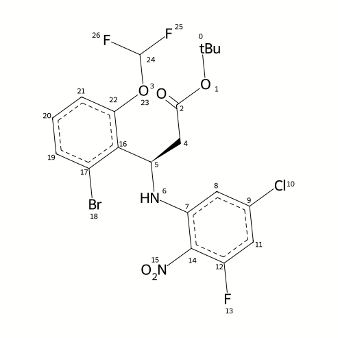 CC(C)(C)OC(=O)C[C@@H](Nc1cc(Cl)cc(F)c1[N+](=O)[O-])c1c(Br)cccc1OC(F)F